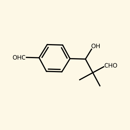 CC(C)(C=O)C(O)c1ccc(C=O)cc1